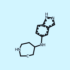 c1cc2[nH]ncc2cc1NC1CCCNCC1